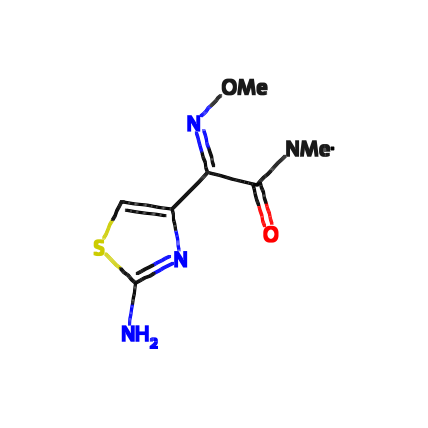 C[N]C(=O)C(=NOC)c1csc(N)n1